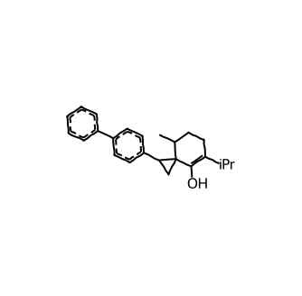 CC(C)C1=C(O)C2(CC2c2ccc(-c3ccccc3)cc2)C(C)CC1